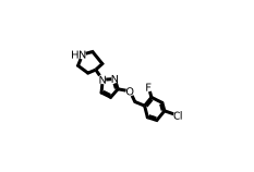 Fc1cc(Cl)ccc1COc1ccn(C2CCNCC2)n1